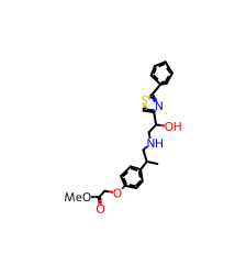 COC(=O)COc1ccc(C(C)CNCC(O)c2csc(-c3ccccc3)n2)cc1